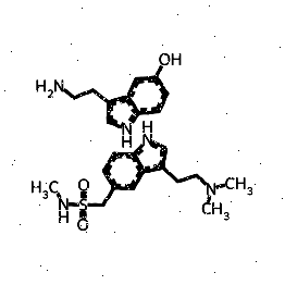 CNS(=O)(=O)Cc1ccc2[nH]cc(CCN(C)C)c2c1.NCCc1c[nH]c2ccc(O)cc12